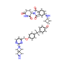 CC(C)(c1ccc(OCc2ccnc(N3CC4(CNC4)C3)n2)cc1)c1ccc(O[C@H]2C[C@H](Nc3ccc4c(c3)C(=O)N(C3CCC(=O)NC3=O)C4=O)C2)cc1